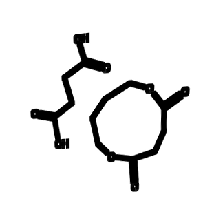 O=C(O)CCC(=O)O.O=C1CCC(=O)OCCCCO1